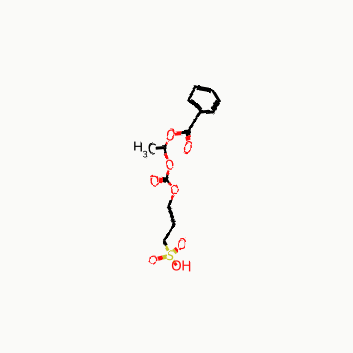 CC(OC(=O)OCCCS(=O)(=O)O)OC(=O)c1ccccc1